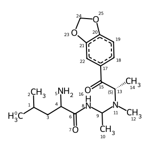 CC(C)CC(N)C(=O)NC(C)N(C)[C@@H](C)C(=O)c1ccc2c(c1)OCO2